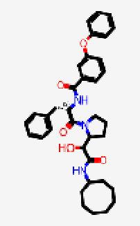 O=C(N[C@@H](Cc1ccccc1)C(=O)N1CCCC1C(O)C(=O)NC1CCCCCCC1)c1cccc(Oc2ccccc2)c1